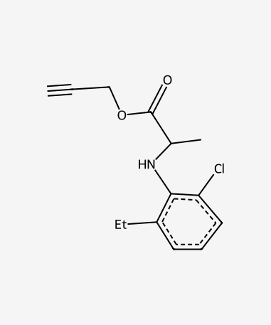 C#CCOC(=O)C(C)Nc1c(Cl)cccc1CC